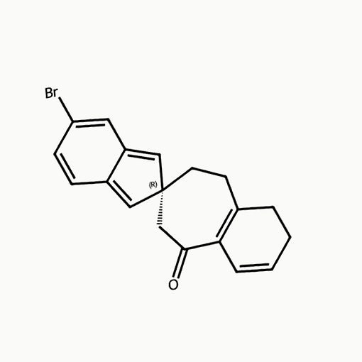 O=C1C[C@@]2(C=c3ccc(Br)cc3=C2)CCC2=C1C=CCC2